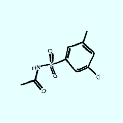 CC(=O)NS(=O)(=O)c1cc(C)cc(Cl)c1